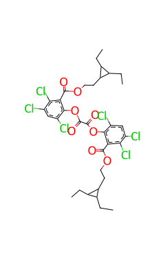 CCC1C(CC)C1CCOC(=O)c1c(Cl)c(Cl)cc(Cl)c1OC(=O)C(=O)Oc1c(Cl)cc(Cl)c(Cl)c1C(=O)OCCC1C(CC)C1CC